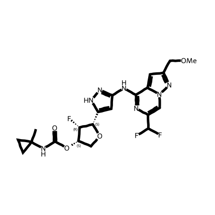 COCc1cc2c(Nc3cc([C@@H]4OC[C@H](OC(=O)NC5(C)CC5)[C@@H]4F)[nH]n3)nc(C(F)F)cn2n1